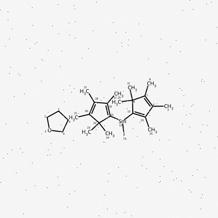 C1CCOC1.CC1=C(C)C(C)(C)[C]([Sm]([I])[C]2=C(C)C(C)=C(C)C2(C)C)=C1C